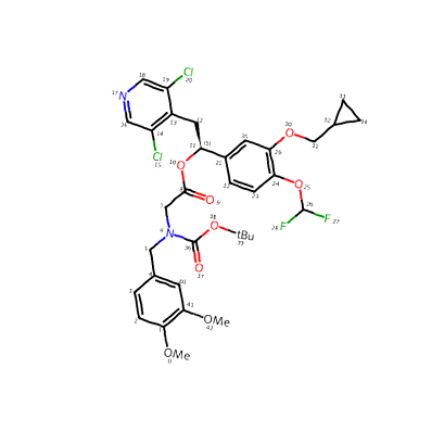 COc1ccc(CN(CC(=O)O[C@@H](Cc2c(Cl)cncc2Cl)c2ccc(OC(F)F)c(OCC3CC3)c2)C(=O)OC(C)(C)C)cc1OC